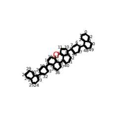 c1ccc2c(-c3ccc(-c4ccc5oc6ccc(-c7ccc(-c8cccc9ccccc89)cc7)c7cccc(c8cccc4c58)c67)cc3)cccc2c1